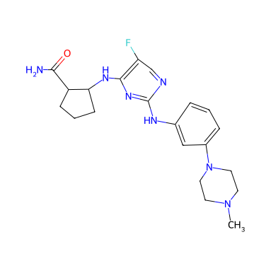 CN1CCN(c2cccc(Nc3ncc(F)c(NC4CCCC4C(N)=O)n3)c2)CC1